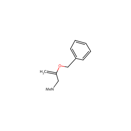 C=C(CNC)OCc1ccccc1